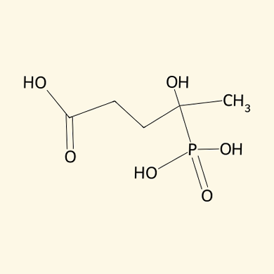 CC(O)(CCC(=O)O)P(=O)(O)O